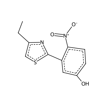 CCc1csc(-c2cc(O)ccc2[N+](=O)[O-])n1